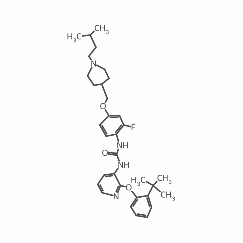 CC(C)CCN1CCC(COc2ccc(NC(=O)Nc3cccnc3Oc3ccccc3C(C)(C)C)c(F)c2)CC1